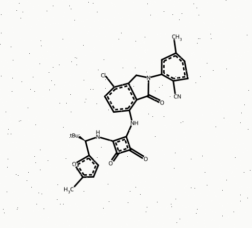 Cc1ccc(C#N)c(N2Cc3c(Cl)ccc(Nc4c(N[C@@H](c5ccc(C)o5)C(C)(C)C)c(=O)c4=O)c3C2=O)c1